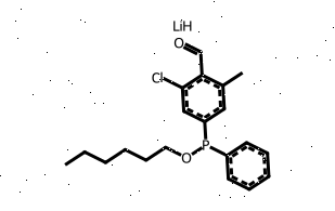 CCCCCCOP(c1ccccc1)c1cc(C)c(C=O)c(Cl)c1.[LiH]